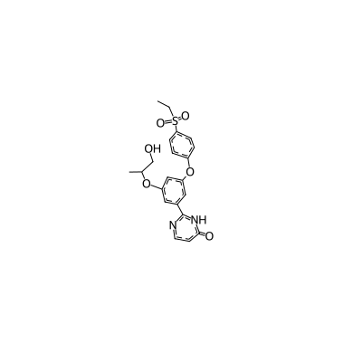 CCS(=O)(=O)c1ccc(Oc2cc(OC(C)CO)cc(-c3nccc(=O)[nH]3)c2)cc1